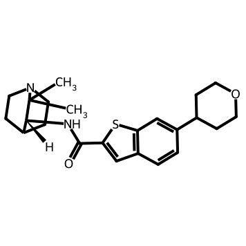 CC1(C)[C@H](NC(=O)c2cc3ccc(C4CCOCC4)cc3s2)C2CCN1CC2